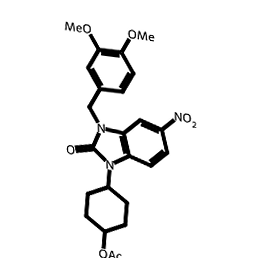 COc1ccc(Cn2c(=O)n(C3CCC(OC(C)=O)CC3)c3ccc([N+](=O)[O-])cc32)cc1OC